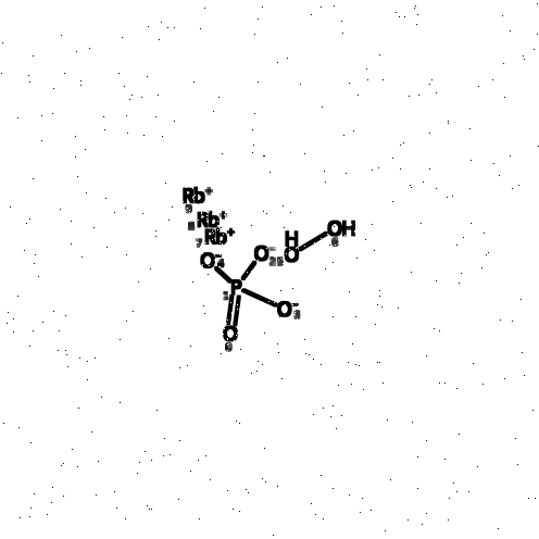 O=P([O-])([O-])[O-].OO.[Rb+].[Rb+].[Rb+]